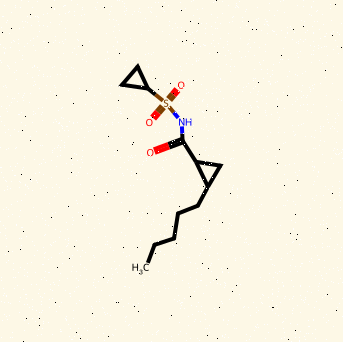 CCCCCC1CC1C(=O)NS(=O)(=O)C1CC1